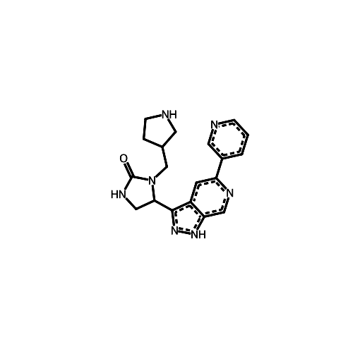 O=C1NCC(c2n[nH]c3cnc(-c4cccnc4)cc23)N1CC1CCNC1